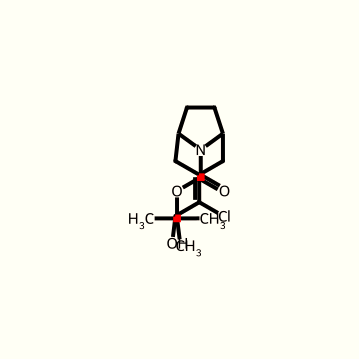 CC(C)(C)OC(=O)N1C2CCC1CC(=C(Cl)CO)C2